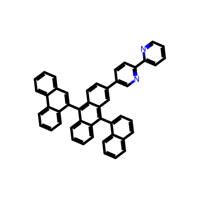 c1ccc(-c2ccc(-c3ccc4c(-c5cc6ccccc6c6ccccc56)c5ccccc5c(-c5cccc6ccccc56)c4c3)cn2)nc1